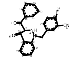 N#Cc1cc(CN2NC(C(=O)c3ccccc3)C(=O)c3ccccc32)ccc1F